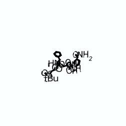 CC(C)(C)C(=O)SCCOP(=O)(NCc1ccccc1)OCC1OCC(O)([n+]2cccc(C(N)=O)c2)C1O